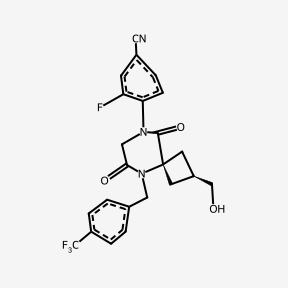 N#Cc1ccc(N2CC(=O)N(Cc3ccc(C(F)(F)F)cc3)[C@]3(C[C@H](CO)C3)C2=O)c(F)c1